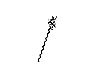 CCCCCCCCCCCCCCCCC(=O)OC(CS(=O)(=O)O)(C(F)(F)F)C(F)(F)F